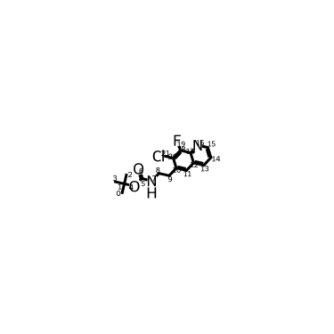 CC(C)(C)OC(=O)NCCc1cc2cccnc2c(F)c1Cl